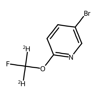 [2H]C([2H])(F)Oc1ccc(Br)cn1